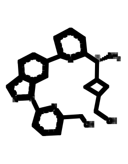 N[C@@H](c1cccc(-c2ccc3cnn(-c4cccc(CO)n4)c3c2)n1)C1CC(CO)C1